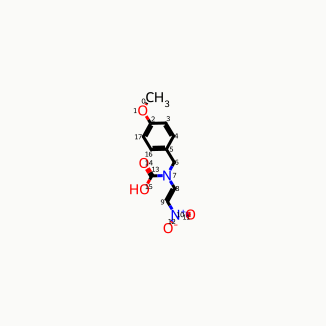 COc1ccc(CN(C=C[N+](=O)[O-])C(=O)O)cc1